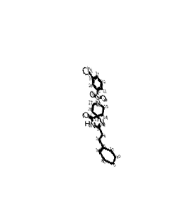 O=C1NC(CCC2CCCCC2)=NC12CCN(S(=O)(=O)c1cccc(Cl)c1)CC2